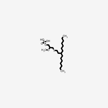 CCCCCCCC(CCCCCCC)CCSCC(COP(=O)(O)O)OC